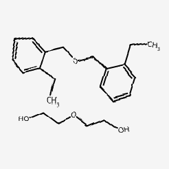 CCc1ccccc1COCc1ccccc1CC.OCCOCCO